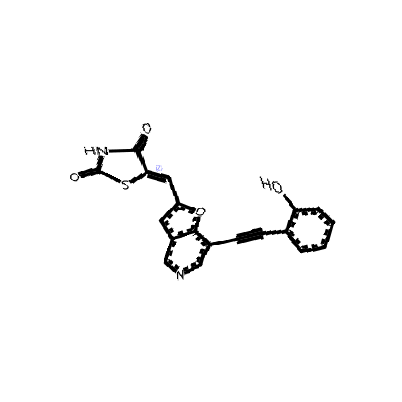 O=C1NC(=O)/C(=C/c2cc3cncc(C#Cc4ccccc4O)c3o2)S1